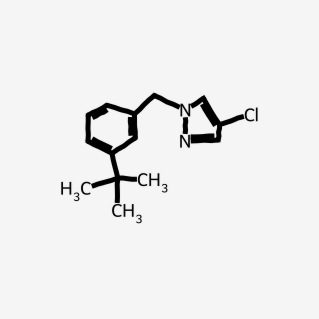 CC(C)(C)c1cccc(Cn2cc(Cl)cn2)c1